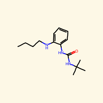 CCCCNc1ccccc1NC(=O)NC(C)(C)C